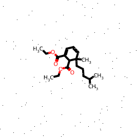 CCOC(=O)C1=CC=CC(C)(CCCC(C)C)C1C(=O)OCC